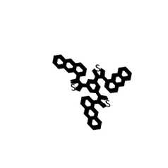 c1ccc2cc3c(-c4cscc4-c4cc(-c5cscc5-c5cccc6cc7ccccc7cc56)cc(-c5cscc5-c5cccc6cc7ccccc7cc56)c4)cccc3cc2c1